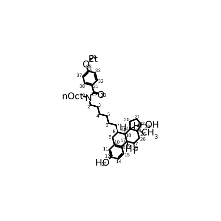 CCCCCCCCN(CCCCCC[C@@H]1Cc2cc(O)ccc2[C@@H]2[C@@H]1[C@@H]1CC[C@H](O)[C@@]1(C)C[C@@H]2F)C(=O)c1ccc(OCC)cc1